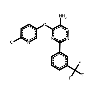 Nc1nnc(-c2cccc(C(F)(F)F)c2)nc1Oc1ccc(Cl)nc1